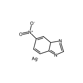 O=[N+]([O-])C1=CC2N=CN=C2C=C1.[Ag]